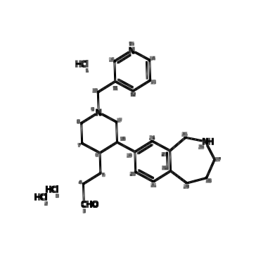 Cl.Cl.Cl.O=CCCC1CCN(Cc2cccnc2)CC1c1ccc2c(c1)CNCCC2